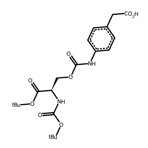 CC(C)(C)OC(=O)N[C@H](COC(=O)Nc1ccc(CC(=O)O)cc1)C(=O)OC(C)(C)C